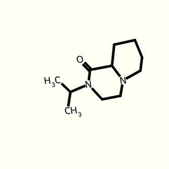 CC(C)N1CCN2CCCCC2C1=O